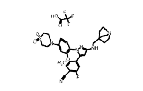 COc1cc(N2CCS(=O)(=O)CC2)ccc1-n1nc(NCC23CCN(CC2)CC3)cc1-c1ccc(C#N)c(F)c1.O=C(O)C(F)(F)F